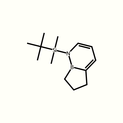 CC(C)(C)[Si](C)(C)N1C=CC=C2CCCB21